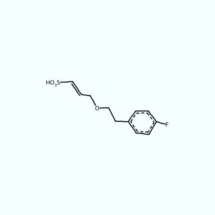 O=S(=O)(O)C=CCOCCc1ccc(F)cc1